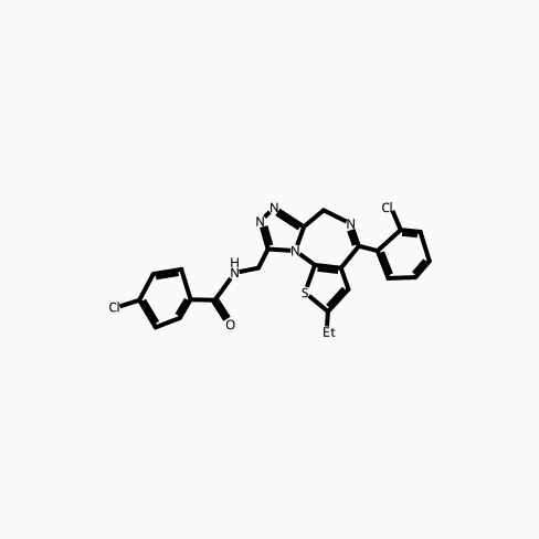 CCc1cc2c(s1)-n1c(nnc1CNC(=O)c1ccc(Cl)cc1)CN=C2c1ccccc1Cl